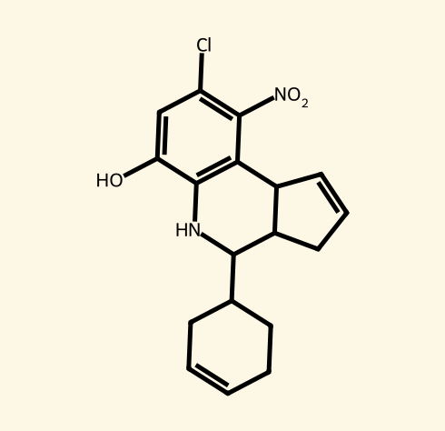 O=[N+]([O-])c1c(Cl)cc(O)c2c1C1C=CCC1C(C1CC=CCC1)N2